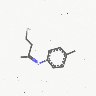 CC(CCC(C)C)=Nc1ccc(C)cc1